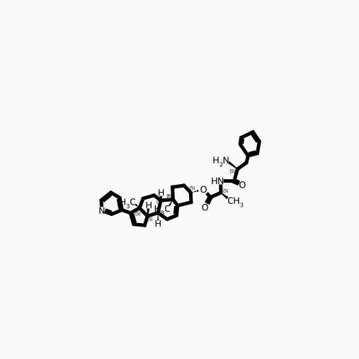 C[C@H](NC(=O)[C@@H](N)Cc1ccccc1)C(=O)O[C@H]1CC[C@@]2(C)C(=CC[C@@H]3[C@@H]2CC[C@]2(C)C(c4cccnc4)=CC[C@@H]32)C1